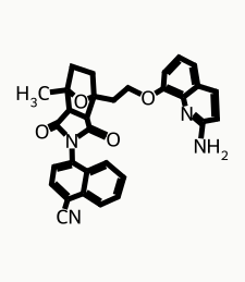 CC12CCC(CCOc3cccc4ccc(N)nc34)(O1)C1C(=O)N(c3ccc(C#N)c4ccccc34)C(=O)C12